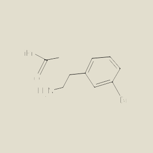 CC(C)C(=O)C[C@@H](CN)c1cccc(Br)c1